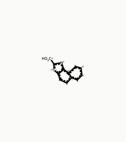 O=C(O)c1nc2c(ccc3ccccc32)s1